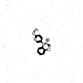 CC(C)Oc1ccc(N(c2ccccc2Cl)[SH](=O)=O)cn1